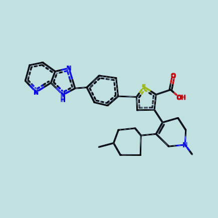 CC1CCC(C2=C(c3cc(-c4ccc(-c5nc6cccnc6[nH]5)cc4)sc3C(=O)O)CCN(C)C2)CC1